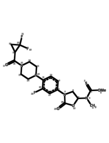 COC(=S)N(C)C1CN(c2ccc(N3CCN(C(=O)C4CC4(F)F)CC3)c(F)c2)C(=O)O1